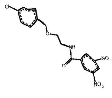 O=C(NCCOCc1ccc(Cl)cc1)c1cc([N+](=O)[O-])cc([N+](=O)[O-])c1